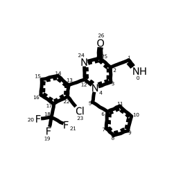 N=Cc1cn(Cc2ccccc2)c(-c2cccc(C(F)(F)F)c2Cl)nc1=O